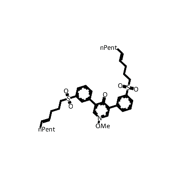 CCCCC/C=C/CCCS(=O)(=O)c1cccc(-c2cn(OC)cc(-c3cccc(S(=O)(=O)CCC/C=C/CCCCC)c3)c2=O)c1